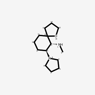 CN[C@@H]1[C@@H](N2CCCC2)CCCC12CCCO2